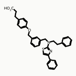 O=C(O)CCc1ccc(OCc2cccc(CN(CCc3ccccc3)c3nc(-c4ccccc4)cs3)c2)cc1